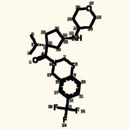 CC(C)[C@]1(C(=O)N2CSc3ccc(C(F)(F)F)cc3C2)CC[C@@H](NC2CCOCC2)C1